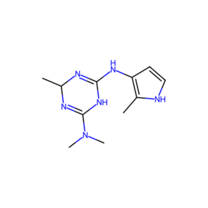 Cc1[nH]ccc1NC1=NC(C)N=C(N(C)C)N1